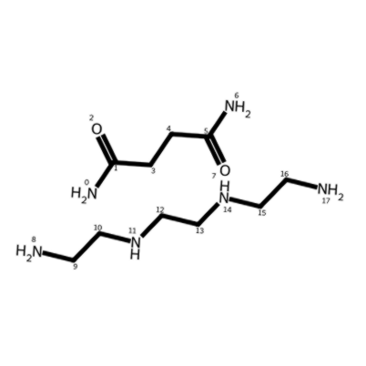 NC(=O)CCC(N)=O.NCCNCCNCCN